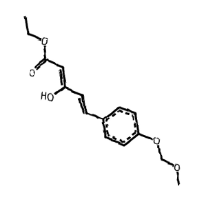 CCOC(=O)C=C(O)C=Cc1ccc(OCOC)cc1